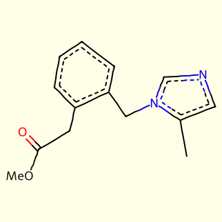 COC(=O)Cc1ccccc1Cn1cncc1C